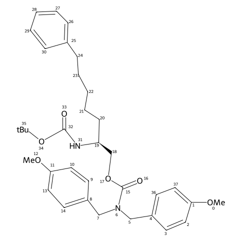 COc1ccc(CN(Cc2ccc(OC)cc2)C(=O)OC[C@H](CCC[CH]Cc2ccccc2)NC(=O)OC(C)(C)C)cc1